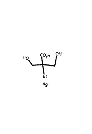 CCC(CO)(CO)C(=O)O.[Ag]